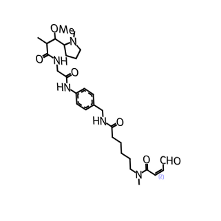 COC(C(C)C(=O)NCC(=O)Nc1ccc(CNC(=O)CCCCCN(C)C(=O)/C=C\C=O)cc1)C1CCCN1C